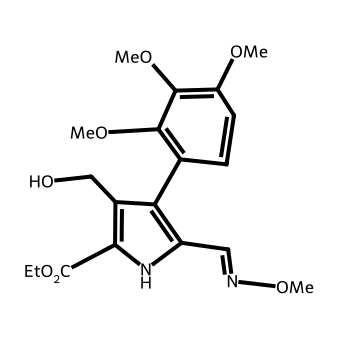 CCOC(=O)c1[nH]c(/C=N/OC)c(-c2ccc(OC)c(OC)c2OC)c1CO